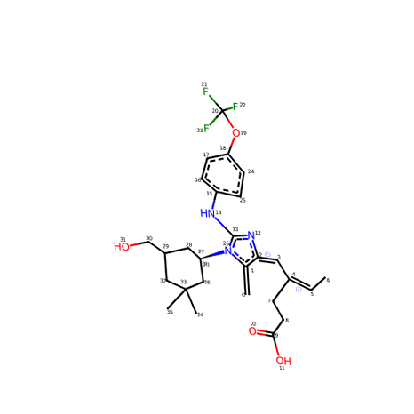 C=c1/c(=C\C(=C/C)CCC(=O)O)nc(Nc2ccc(OC(F)(F)F)cc2)n1[C@@H]1CC(CO)CC(C)(C)C1